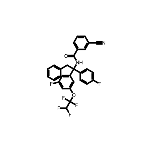 N#Cc1cccc(C(=O)NC(Cc2ccccc2)(c2ccc(F)cc2)c2cc(F)cc(OC(F)(F)C(F)F)c2)c1